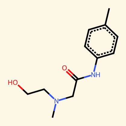 Cc1ccc(NC(=O)CN(C)CCO)cc1